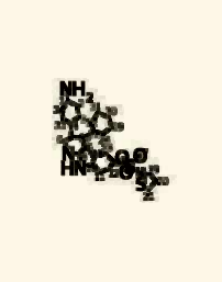 Nc1ccc(-c2cnc3[nH]c4ccc(OS(=O)(=O)c5cccs5)cc4c3c2-c2ccccc2)cc1